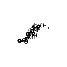 Cc1ccc([C@H](NC(=O)[C@H]2C[C@H]3C[C@H]3N2C(=O)c2cccc(C3(O)CN(C(=O)OCc4ccccc4)C3)c2)C2CC2)c(F)c1